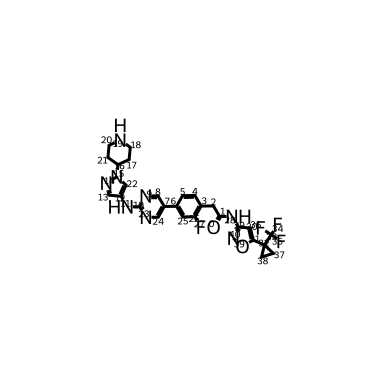 O=C(Cc1ccc(-c2cnc(Nc3cnn(C4CCNCC4)c3)nc2)cc1F)Nc1cc(C2(C(F)(F)F)CC2)on1